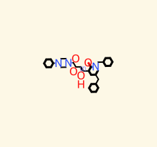 O=C(/C=C(\O)c1cc(Cc2ccccc2)cn(Cc2ccccc2)c1=O)C(=O)N1CCN(c2ccccc2)CC1